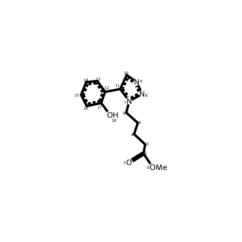 COC(=O)CCCCn1nncc1-c1ccccc1O